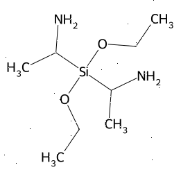 CCO[Si](OCC)(C(C)N)C(C)N